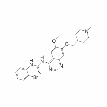 COc1cc2c(NC(=S)Nc3ccccc3Br)ncnc2cc1OCC1CCN(C)CC1